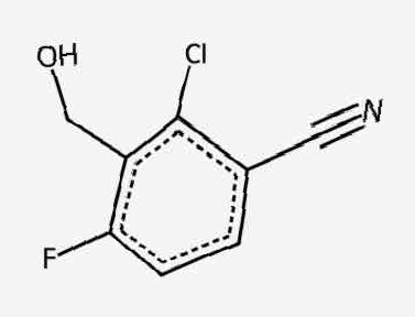 N#Cc1ccc(F)c(CO)c1Cl